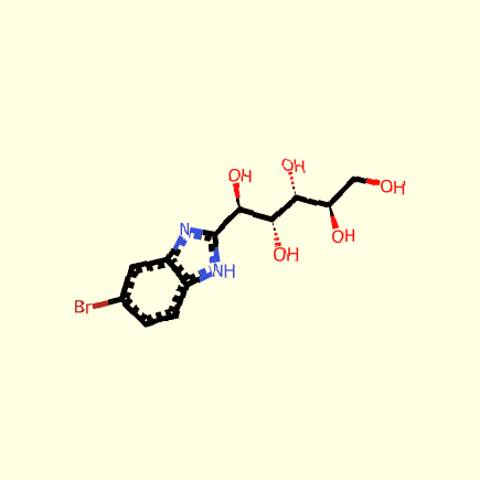 OC[C@@H](O)[C@@H](O)[C@H](O)[C@H](O)c1nc2cc(Br)ccc2[nH]1